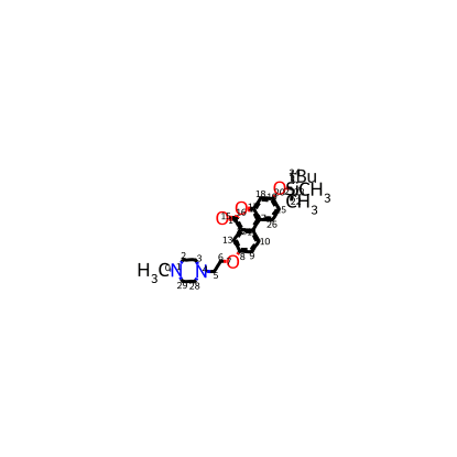 CN1CCN(CCOc2ccc3c(c2)c(=O)oc2cc(O[Si](C)(C)C(C)(C)C)ccc23)CC1